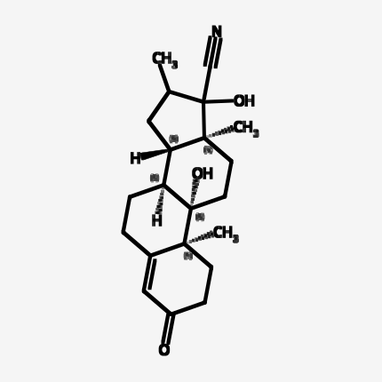 CC1C[C@H]2[C@@H]3CCC4=CC(=O)CC[C@]4(C)[C@]3(O)CC[C@]2(C)C1(O)C#N